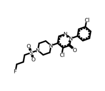 O=c1c(Cl)c(N2CCN(S(=O)(=O)CCCF)CC2)cnn1-c1cccc(Cl)c1